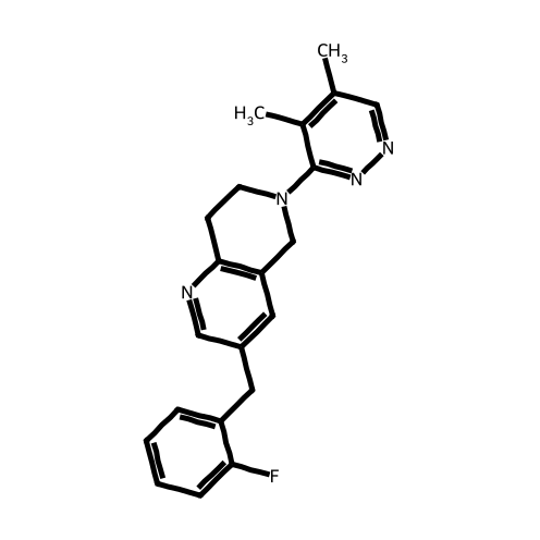 Cc1cnnc(N2CCc3ncc(Cc4ccccc4F)cc3C2)c1C